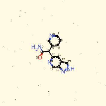 NC(=O)C(c1cccnc1)c1cc2c[nH]nc2cn1